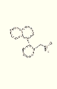 [O][SiH2]Cc1ccccc1-c1cccc2ccccc12